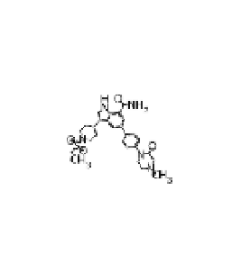 CCS(=O)(=O)N1CCC(c2c[nH]c3c(C(N)=O)cc(-c4ccc(N5CCN(C)CC5=O)cc4)cc23)CC1